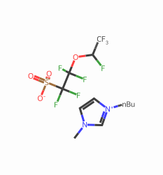 CCCC[n+]1ccn(C)c1.O=S(=O)([O-])C(F)(F)C(F)(F)OC(F)C(F)(F)F